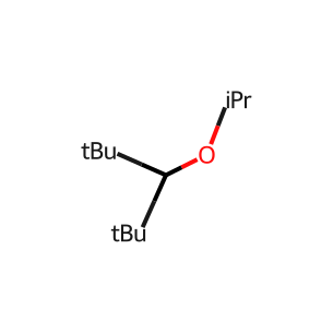 CC(C)OC(C(C)(C)C)C(C)(C)C